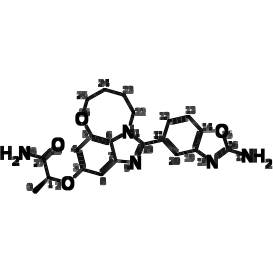 C[C@H](Oc1cc2c3c(c1)nc(-c1ccc4oc(N)nc4c1)n3CCCCO2)C(N)=O